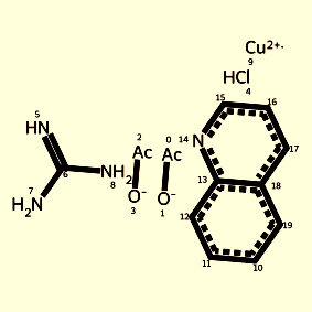 CC(=O)[O-].CC(=O)[O-].Cl.N=C(N)N.[Cu+2].c1ccc2ncccc2c1